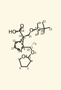 C[C@H](OC1CCCCO1)c1nccn1[C@H](CO[Si](C)(C)C(C)(C)C)C(=O)O